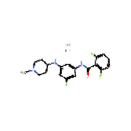 CN1CCC(Nc2cc(F)cc(NC(=O)c3c(F)cccc3F)c2)CC1.Cl.Cl